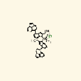 CCC1=Cc2c(-c3ccc4c5c(cccc35)C=C4)cccc2[CH]1[Zr+2]([CH]1C(CC)=Cc2c(-c3ccc4c5c(cccc35)C=C4)cccc21)=[Si](C)C.[Cl-].[Cl-]